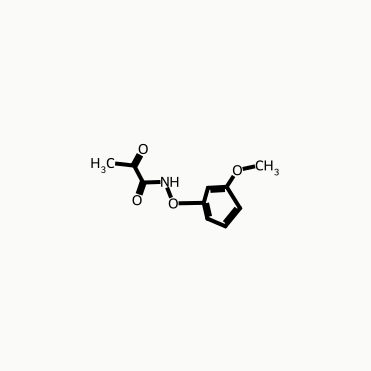 COc1cccc(ONC(=O)C(C)=O)c1